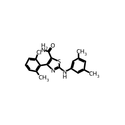 Cc1cc(C)cc(Nc2nc(-c3c(C)cccc3Cl)c(C(N)=O)s2)c1